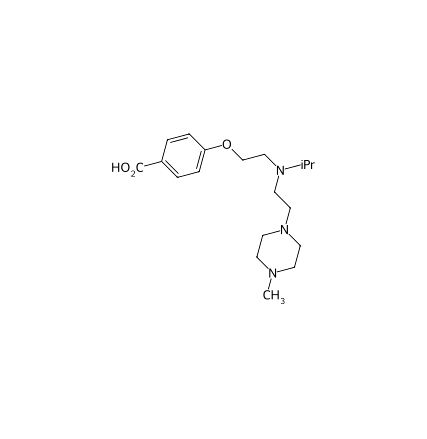 CC(C)N(CCOc1ccc(C(=O)O)cc1)CCN1CCN(C)CC1